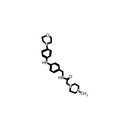 CN1CCN(CC(=O)NCc2ccc(Nc3ccc(N4CCOCC4)cc3)cc2)CC1